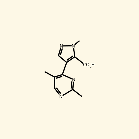 Cc1ncc(C)c(-c2cnn(C)c2C(=O)O)n1